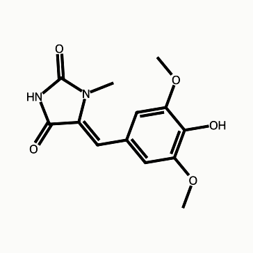 COc1cc(/C=C2/C(=O)NC(=O)N2C)cc(OC)c1O